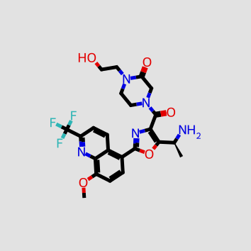 COc1ccc(-c2nc(C(=O)N3CCN(CCO)C(=O)C3)c([C@H](C)N)o2)c2ccc(C(F)(F)F)nc12